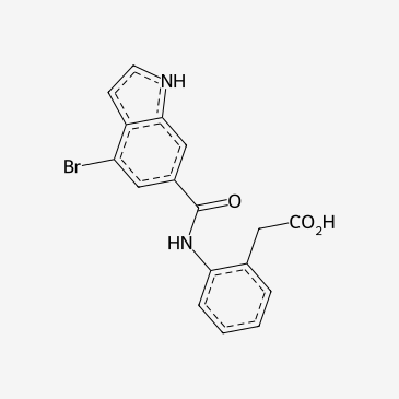 O=C(O)Cc1ccccc1NC(=O)c1cc(Br)c2cc[nH]c2c1